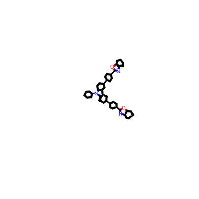 c1ccc(-n2c3ccc(-c4ccc(-c5nc6ccccc6o5)cc4)cc3c3cc(-c4ccc(-c5nc6ccccc6o5)cc4)ccc32)cc1